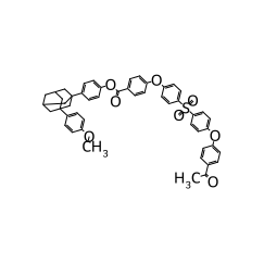 COc1ccc(C23CC4CC(C2)CC(c2ccc(OC(=O)c5ccc(Oc6ccc(S(=O)(=O)c7ccc(Oc8ccc(C(C)=O)cc8)cc7)cc6)cc5)cc2)(C4)C3)cc1